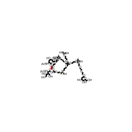 CC(=O)N/C(=C(/CO)[C@H](O)CO)[C@@H](O)OCCOCCOCCOP(O)(=S)OCCCOCC(COCCCOP(O)O)(COCCCOP(O)OCCOCCOCCOC1OC(CO)C(O)[C@H](O)C[C@@H]1NC(C)=O)COCCCOP(O)(=S)OCCOCCOCCO[C@H]1C[C@@H](O)C(O)C(CO)O1